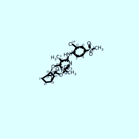 Cc1c(Nc2ccc(S(C)(=O)=O)cc2Cl)ncnc1O[C@H]1CC2CCC1N2C(=O)OC(C)C